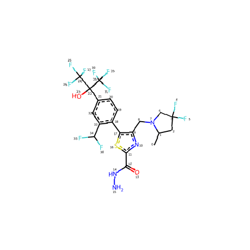 CC1CC(F)(F)CN1Cc1nc(C(=O)NN)sc1-c1ccc(C(O)(C(F)(F)F)C(F)(F)F)cc1C(F)F